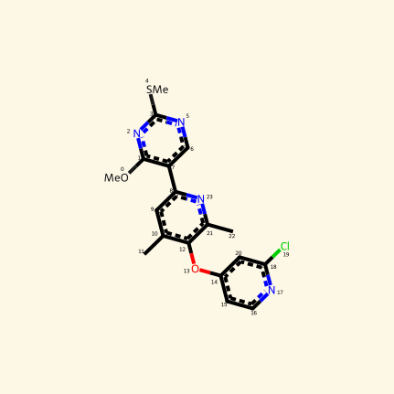 COc1nc(SC)ncc1-c1cc(C)c(Oc2ccnc(Cl)c2)c(C)n1